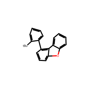 CC(C)(C)c1ccccc1-c1cccc2oc3ccccc3c12